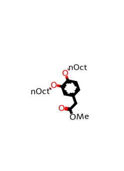 CCCCCCCCOc1ccc(CC(=O)OC)cc1OCCCCCCCC